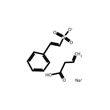 C=CCC(=O)O.O=S(=O)([O-])C=Cc1ccccc1.[Na+]